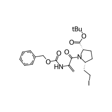 C=C(NC(=O)OCc1ccccc1)C(=O)N1[C@@H](CCI)CC[C@H]1C(=O)OC(C)(C)C